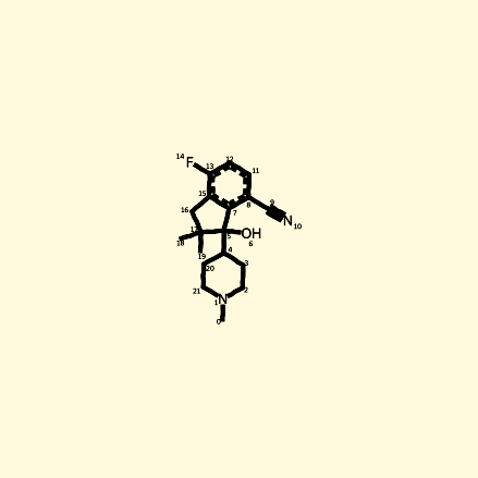 CN1CCC(C2(O)c3c(C#N)ccc(F)c3CC2(C)C)CC1